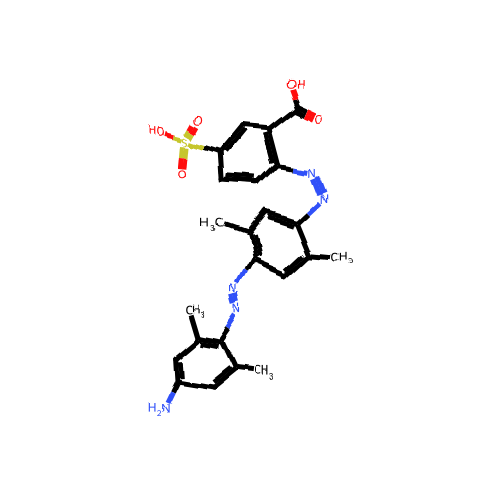 Cc1cc(/N=N\c2ccc(S(=O)(=O)O)cc2C(=O)O)c(C)cc1N=Nc1c(C)cc(N)cc1C